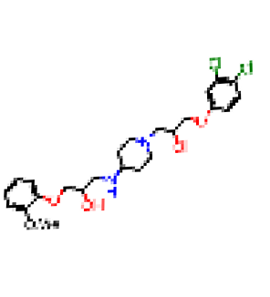 COc1ccccc1OCC(O)CNC1CCN(CC(O)COc2ccc(Cl)c(Cl)c2)CC1